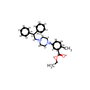 CCOC(=O)c1cc(N2CCN(CC(c3ccccc3)c3ccccc3)CC2)ccc1C